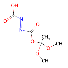 COC(C)(OC)OC(=O)N=NC(=O)O